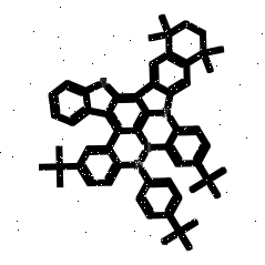 CC(C)(C)c1ccc(N2B3c4cc(C(C)(C)C)ccc4-n4c5cc6c(cc5c5c7sc8ccccc8c7c(c3c54)-c3cc(C(C)(C)C)ccc32)C(C)(C)CCC6(C)C)cc1